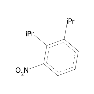 CC(C)c1cccc([N+](=O)[O-])c1C(C)C